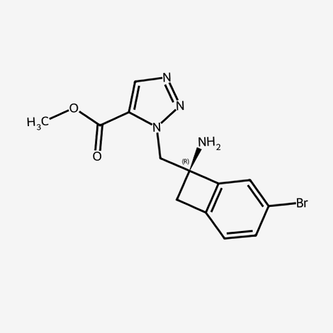 COC(=O)c1cnnn1C[C@@]1(N)Cc2ccc(Br)cc21